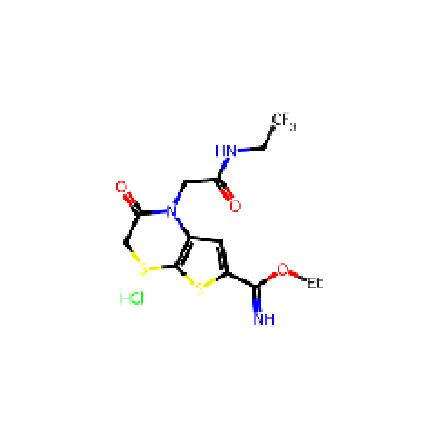 CCOC(=N)c1cc2c(s1)SCC(=O)N2CC(=O)NCC(F)(F)F.Cl